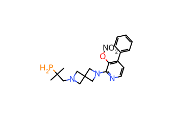 CC(C)(P)CN1CC2(C1)CN(c1nccc(-c3ccccc3)c1O[N+](=O)[O-])C2